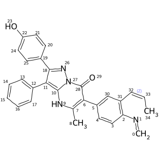 C=Nc1ccc(-c2c(C)[nH]c3c(-c4ccccc4)c(-c4ccc(O)cc4)nn3c2=O)cc1/C=C\C